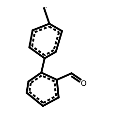 [CH2]c1ccc(-c2ccccc2C=O)cc1